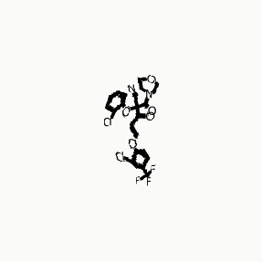 N#CC(Oc1ccccc1Cl)(C(=O)CCOc1ccc(C(F)(F)F)cc1Cl)C(=O)N1CCOCC1